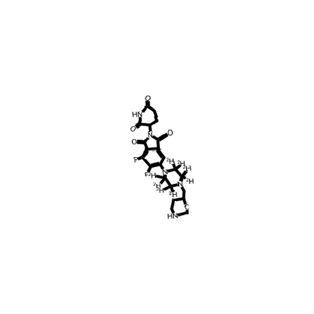 [2H]C1([2H])N(CC2CCNCC2)C([2H])([2H])C([2H])([2H])N(c2cc3c(c(F)c2F)C(=O)N(C2CCC(=O)NC2=O)C3=O)C1([2H])[2H]